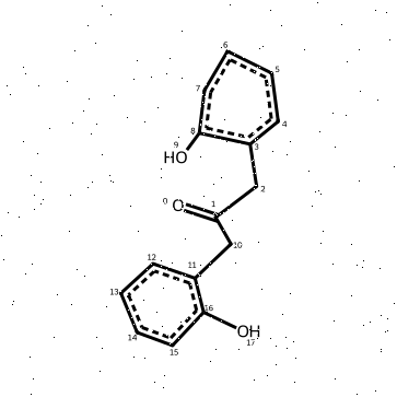 O=C(Cc1ccccc1O)Cc1ccccc1O